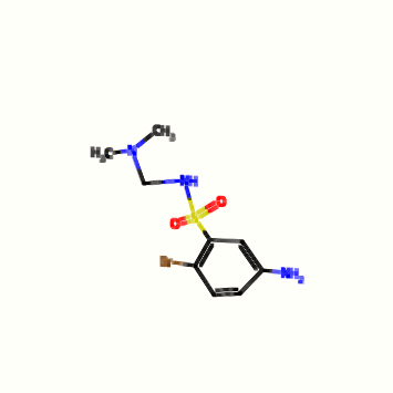 CN(C)CNS(=O)(=O)c1cc(N)ccc1Br